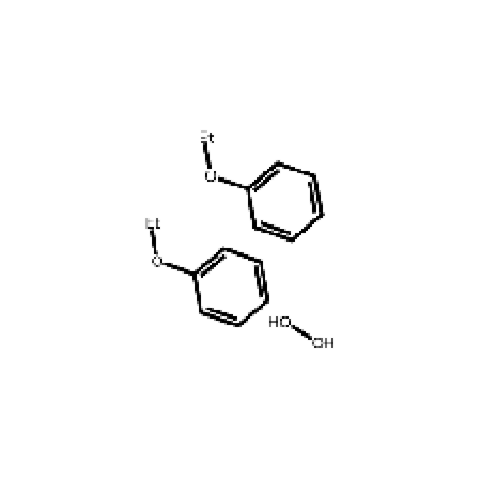 CCOc1ccccc1.CCOc1ccccc1.OO